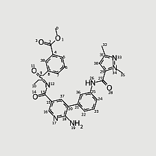 COC(=O)c1cccc(S(C)(=O)=NC(=O)c2cnc(N)c(-c3cccc(NC(=O)c4cc(C)nn4C)c3)c2)c1